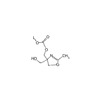 CC1=NC(CO)(COC(=O)OI)CO1